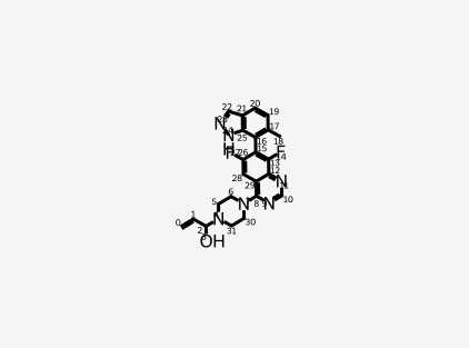 C=CC(O)N1CCN(c2ncnc3c(F)c(-c4c(C)ccc5cn[nH]c45)c(F)cc23)CC1